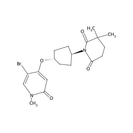 Cn1cc(Br)c(O[C@H]2CC[C@H](N3C(=O)CCC(C)(C)C3=O)CC2)cc1=O